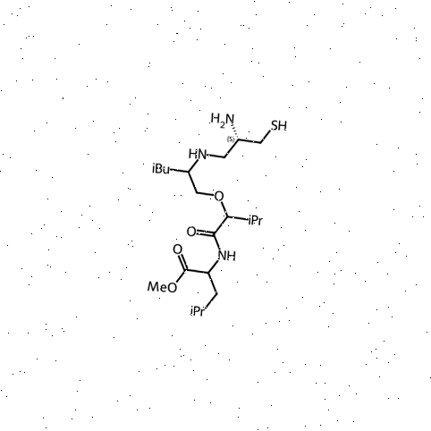 CCC(C)C(COC(C(=O)NC(CC(C)C)C(=O)OC)C(C)C)NC[C@H](N)CS